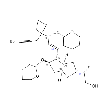 CCC#CCC1([C@@H](/C=C/[C@@H]2[C@H]3C/C(=C(\F)CO)C[C@H]3C[C@H]2OC2CCCCO2)OC2CCCCO2)CCC1